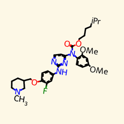 COc1ccc(N(C(=O)OCCCCC(C)C)c2ccnc(Nc3ccc(OCC4CCCN(C)C4)c(F)c3)n2)c(OC)c1